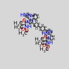 COC(=O)NC(C(=O)N1C=C(c2ccc(-c3ccc(-c4cnc(C5CCCN5C(=O)C(NC(=O)OC)C(C)C)[nH]4)cc3)cc2)N(c2ccccc2)C1C1CNCN1)C(C)C